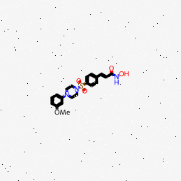 COc1cccc(N2CCN(S(=O)(=O)c3ccc(C=CC(=O)NO)cc3)CC2)c1